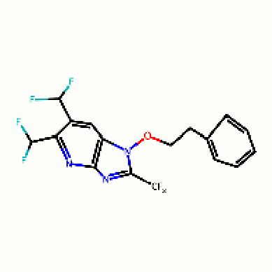 FC(F)c1cc2c(nc1C(F)F)nc(C(F)(F)F)n2OCCc1ccccc1